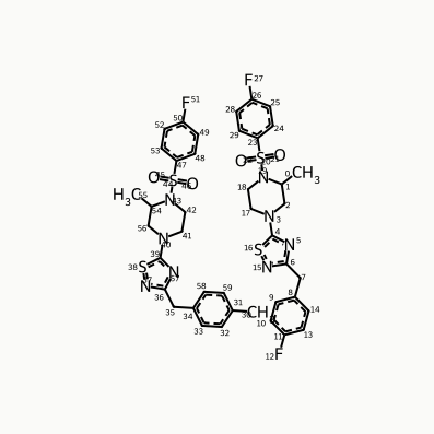 CC1CN(c2nc(Cc3ccc(F)cc3)ns2)CCN1S(=O)(=O)c1ccc(F)cc1.Cc1ccc(Cc2nsc(N3CCN(S(=O)(=O)c4ccc(F)cc4)C(C)C3)n2)cc1